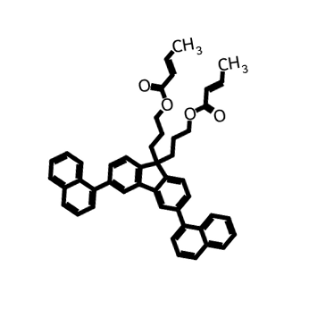 CC=CC(=O)OCCCC1(CCCOC(=O)C=CC)c2ccc(-c3cccc4ccccc34)cc2-c2cc(-c3cccc4ccccc34)ccc21